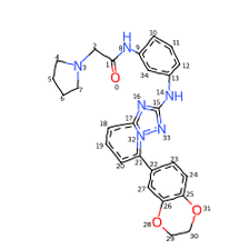 O=C(CN1CCCC1)Nc1cccc(Nc2nc3cccc(-c4ccc5c(c4)OCCO5)n3n2)c1